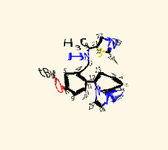 CC(NCc1cc(OC(C)(C)C)ccc1-c1cccc2nccn12)c1cncs1